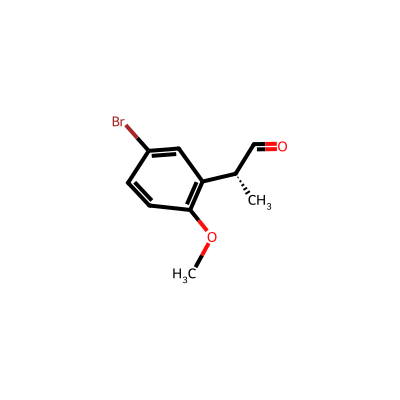 COc1ccc(Br)cc1[C@@H](C)C=O